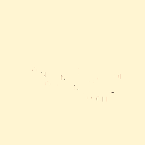 Cc1cccc2c(Cn3c(=O)ccn([C@@H](O)O[C@H](CO)[C@@H](C)O)c3=O)noc12